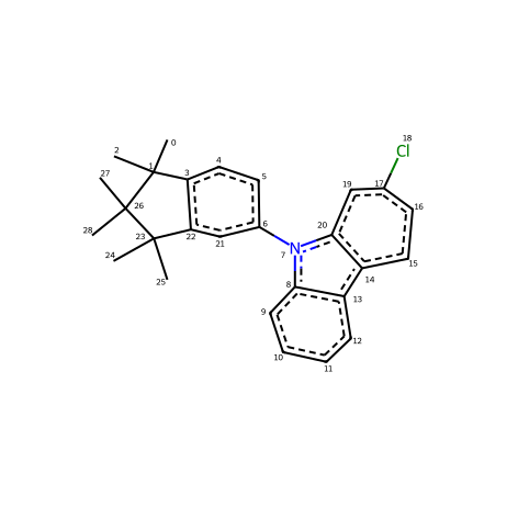 CC1(C)c2ccc(-n3c4ccccc4c4ccc(Cl)cc43)cc2C(C)(C)C1(C)C